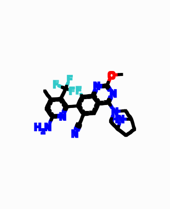 COc1nc(N2CC3CCC(C2)N3)c2cc(C#N)c(-c3nc(N)cc(C)c3C(F)(F)F)c(F)c2n1